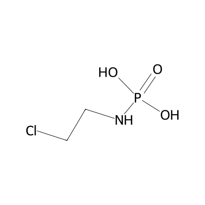 O=P(O)(O)NCCCl